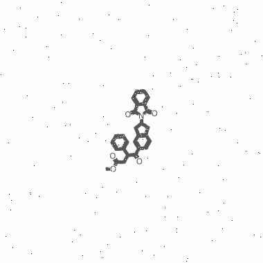 COC(=O)CC(C(=O)c1ccc2c(c1)CC(N1C(=O)c3ccccc3C1=O)C2)c1ccccc1